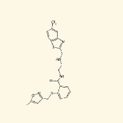 Cc1cc(CSc2ccccc2C(=O)NCCNCc2nc3cc(C(F)(F)F)ccc3s2)no1